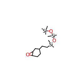 C[Si](C)(C)O[Si](C)(C)O[Si](C)(C)CCC1CCC2OC2C1